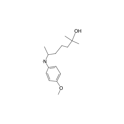 COc1ccc([N]C(C)CCCC(C)(C)O)cc1